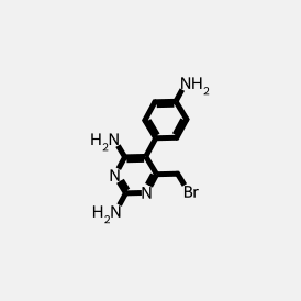 Nc1ccc(-c2c(N)nc(N)nc2CBr)cc1